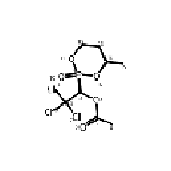 CC(=O)OC(C(Cl)(Cl)Cl)P1(=O)OCCC(C)O1